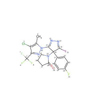 Cc1c(Cl)c(C(F)(F)F)nn1C1=NN=C(I)C1(c1ccc(F)cc1)N1CCCC1=O